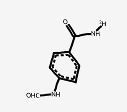 [2H]NC(=O)c1ccc(NC=O)cc1